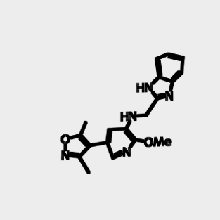 COc1ncc(-c2c(C)noc2C)cc1NCc1nc2ccccc2[nH]1